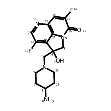 NC1CCN(CC2(O)Cn3c(=O)c(F)cc4ncc(F)c2c43)CC1